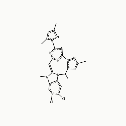 Cc1cc(C)n(-c2nc3nc(n2)-n2nc(C)cc2C(C)N2/C(=C\3)N(C)c3cc(Cl)c(Cl)cc32)n1